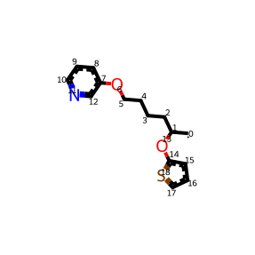 [CH2]C(CCCCOc1cccnc1)Oc1cccs1